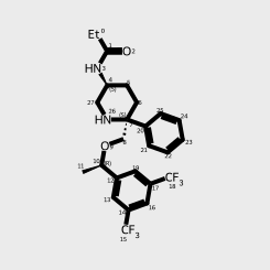 CCC(=O)N[C@H]1CC[C@@](CO[C@H](C)c2cc(C(F)(F)F)cc(C(F)(F)F)c2)(c2ccccc2)NC1